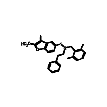 Cc1cccc(C)c1CN(CCc1ccccc1)Sc1ccc2oc(C(=O)O)c(C)c2c1